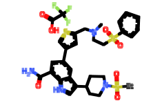 CCS(=O)(=O)N1CCC(c2c[nH]c3c(C(N)=O)cc(-c4csc(CN(C)CCS(=O)(=O)c5ccccc5)c4)cc23)CC1.O=C(O)C(F)(F)F